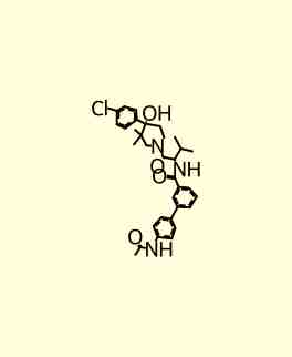 CC(=O)Nc1ccc(-c2cccc(C(=O)N[C@@H](C(=O)N3CC[C@](O)(c4ccc(Cl)cc4)C(C)(C)C3)C(C)C)c2)cc1